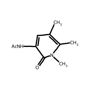 CC(=O)Nc1cc(C)c(C)n(C)c1=O